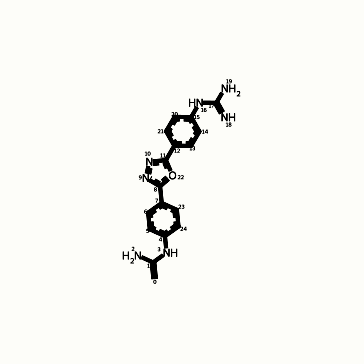 C=C(N)Nc1ccc(-c2nnc(-c3ccc(NC(=N)N)cc3)o2)cc1